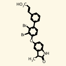 CC1C(=O)Nc2ccc(Oc3ccc(-c4cccc(C=CC(=O)O)c4)c(Br)c3Br)cc21